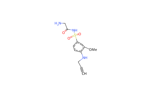 C#CCNc1ccc(S(=O)(=O)NC(=O)CN)cc1OC